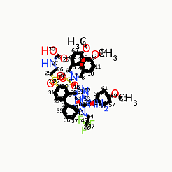 COc1ccc(CN(Cc2ccc(OC)cc2)S(=O)(=O)c2c(S(=O)(=O)CCNC(=O)O)ccc(-c3cccc4c3nc(N)n4CC(F)(F)F)c2-c2nnn(Cc3ccc(OC)cc3)n2)cc1